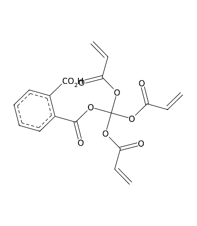 C=CC(=O)OC(OC(=O)C=C)(OC(=O)C=C)OC(=O)c1ccccc1C(=O)O